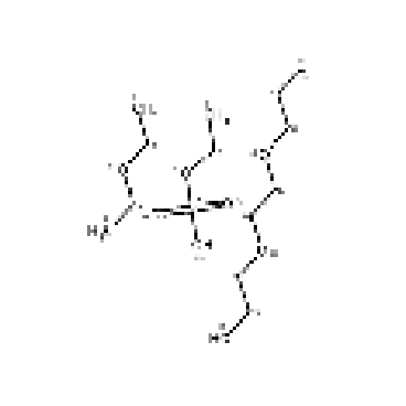 CCOCC.CCOS(=O)(=O)O.OCCOCCOCCO